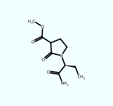 CC[C@@H](C(N)=O)N1CCC(C(=O)OC)C1=O